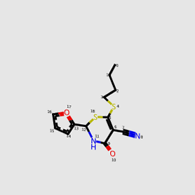 CCCCSC1=C(C#N)C(=O)NC(c2ccco2)S1